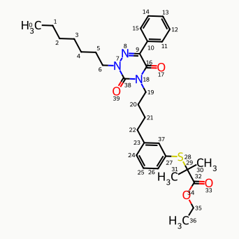 CCCCCCCn1nc(-c2ccccc2)c(=O)n(CCCCc2cccc(SC(C)(C)C(=O)OCC)c2)c1=O